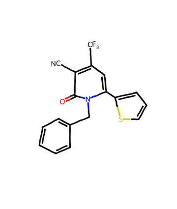 N#Cc1c(C(F)(F)F)cc(-c2cccs2)n(Cc2ccccc2)c1=O